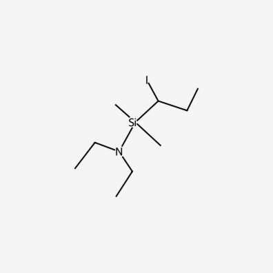 CCC(I)[Si](C)(C)N(CC)CC